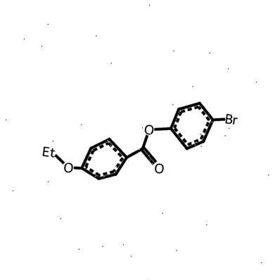 CCOc1ccc(C(=O)Oc2ccc(Br)cc2)cc1